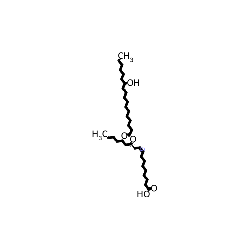 CCCCCCC(O)CCCCCCCCCCC(=O)O[C@@H](C/C=C\CCCCCCCC(=O)O)CCCCCC